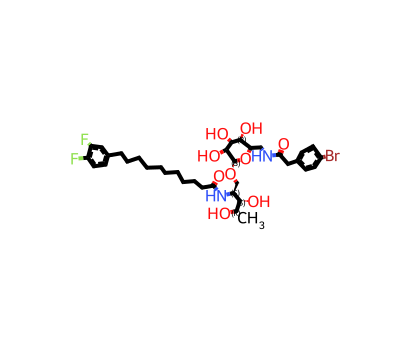 C[C@@H](O)[C@@H](O)[C@H](CO[C@H]1OC(CNC(=O)Cc2ccc(Br)cc2)[C@H](O)C(O)C1O)NC(=O)CCCCCCCCCCc1ccc(F)c(F)c1